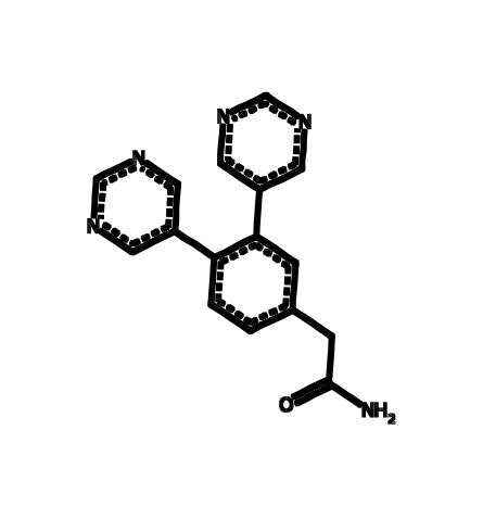 NC(=O)Cc1ccc(-c2cncnc2)c(-c2cncnc2)c1